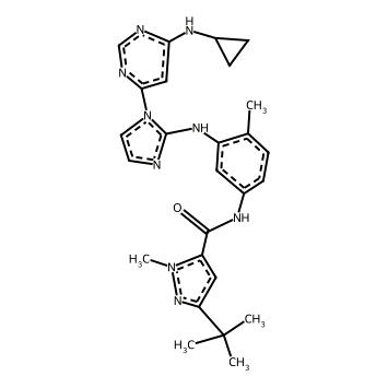 Cc1ccc(NC(=O)c2cc(C(C)(C)C)nn2C)cc1Nc1nccn1-c1cc(NC2CC2)ncn1